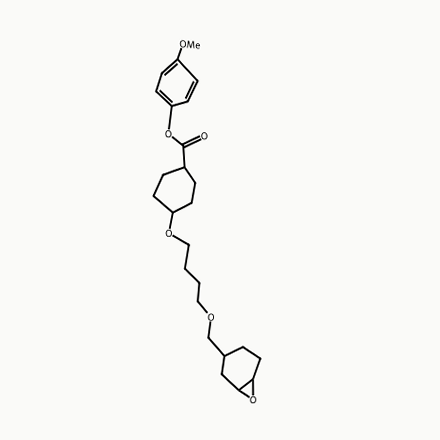 COc1ccc(OC(=O)C2CCC(OCCCCOCC3CCC4OC4C3)CC2)cc1